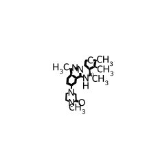 Cc1cccc([C@@H](C)Nc2nnc(C)c3ccc(N4CCN(C)C(=O)C4)cc23)c1C